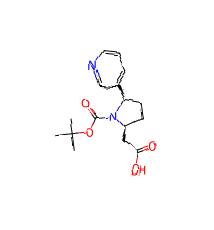 CC(C)(C)OC(=O)N1[C@H](CC(=O)O)CC[C@@H]1c1cccnc1